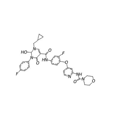 O=C(Nc1ccc(Oc2ccnc(NC(=O)N3CCOCC3)c2)c(F)c1)C1=CN(CC2CC2)C(O)N(c2ccc(F)cc2)C1=O